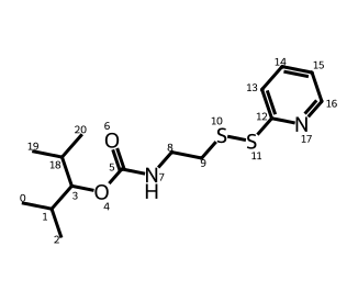 CC(C)C(OC(=O)NCCSSc1ccccn1)C(C)C